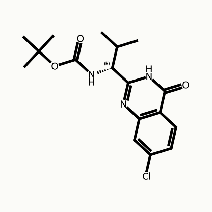 CC(C)[C@@H](NC(=O)OC(C)(C)C)c1nc2cc(Cl)ccc2c(=O)[nH]1